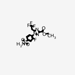 CCOC(=O)c1nc(CC(F)(F)F)n(-c2ccc(S(N)(=O)=O)cc2F)n1